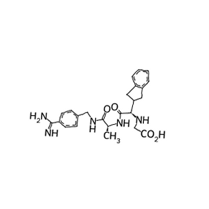 C[C@H](NC(=O)[C@H](NCC(=O)O)C1Cc2ccccc2C1)C(=O)NCc1ccc(C(=N)N)cc1